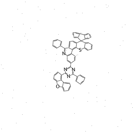 c1ccc(-c2nc(-c3ccc4c(c3)nc(-c3ccccc3)c3ccc5c(c34)Sc3ccccc3C53c4ccccc4-c4ccccc43)nc(-c3cccc4oc5ccccc5c34)n2)cc1